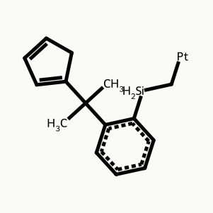 CC(C)(C1=CC=CC1)c1ccccc1[SiH2][CH2][Pt]